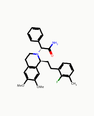 COc1cc2c(cc1OC)[C@H](CCc1cccc(C)c1F)N([C@@H](C(N)=O)c1ccccc1)CC2